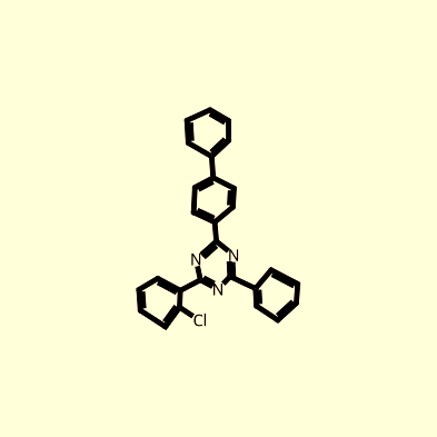 Clc1ccccc1-c1nc(-c2ccccc2)nc(-c2ccc(-c3ccccc3)cc2)n1